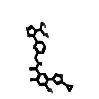 Cc1cc(F)c(C(=O)NCc2cccc(-c3nncn3C(C)C)n2)cc1-n1cnc(C2CC2)c1